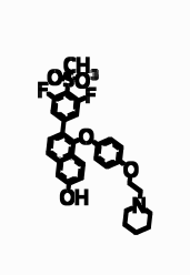 CS(=O)(=O)c1c(F)cc(-c2ccc3cc(O)ccc3c2Oc2ccc(OCCN3CCCCC3)cc2)cc1F